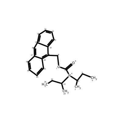 CCC(C)N(C(=O)OCc1c2ccccc2cc2ccccc12)C(C)CC